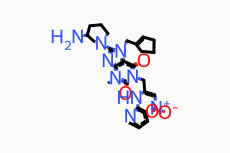 Cn1c(=O)n(C/C(=C/[N+](=O)[O-])Nc2ccccn2)c(=O)c2c1nc(N1CCCC(N)C1)n2CC1=CCCC1